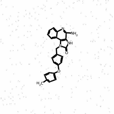 [CH2]c1ccc(Oc2ccc(Cn3c(=O)[nH]c4c(N)nc5ccccc5c43)cc2)cc1